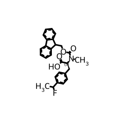 CC(F)c1ccc(C[C@@H](C(=O)O)N(C)C(=O)OCC2c3ccccc3-c3ccccc32)cc1